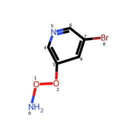 NOOc1cncc(Br)c1